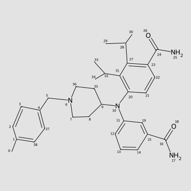 Cc1ccc(CN2CCC(N(c3cccc(C(N)=O)c3)c3ccc(C(N)=O)c(C(C)C)c3C(C)C)CC2)cc1